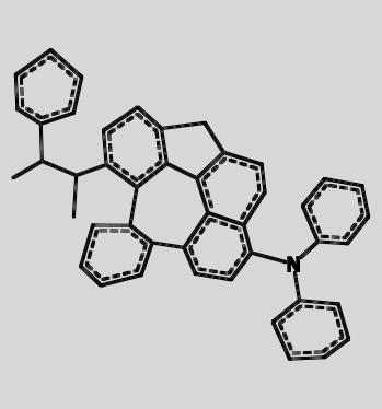 CC(c1ccccc1)C(C)c1ccc2c3c1-c1ccccc1-c1ccc(N(c4ccccc4)c4ccccc4)c4ccc(c-3c14)C2